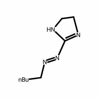 CCCCCN=NC1=NCCN1